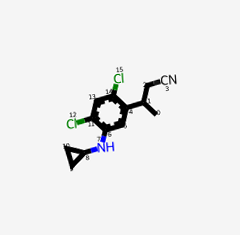 CC(CC#N)c1cc(NC2CC2)c(Cl)cc1Cl